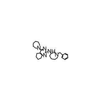 c1ccc(CN2CCCC[C@H](Nc3nc4c(c(N5CCCCCC5)n3)CCCC4)C2)cc1